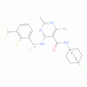 Cc1nc(Cl)c(C(=O)NC23CCC(F)(CC2)CC3)c(N[C@H](C)c2cccc(C(F)F)c2F)n1